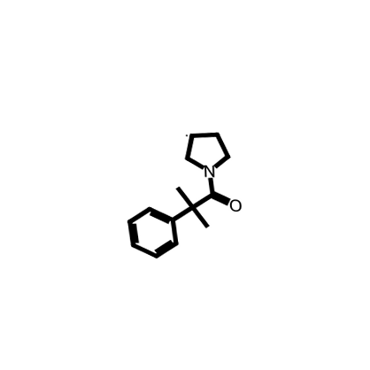 CC(C)(C(=O)N1C[CH]CC1)c1ccccc1